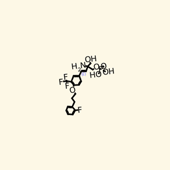 NC(/C=C/c1ccc(OCCCc2ccccc2F)c(C(F)(F)F)c1)(CO)COP(=O)(O)O